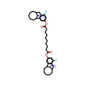 NC1C2CCCCCC1c1cc(OC(=O)CCCCCCCCC(=O)Oc3cc(F)c4c(c3)C3CCCCCC(C4)C3N)cc(F)c1C2